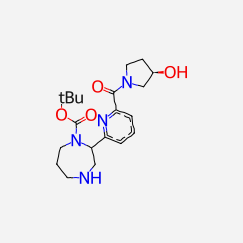 CC(C)(C)OC(=O)N1CCCNCC1c1cccc(C(=O)N2CC[C@@H](O)C2)n1